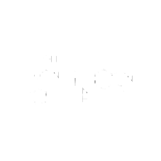 O=C(O)NC(CC(=O)Nc1ccc2cnsc2c1)c1ccsc1